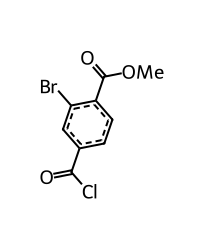 COC(=O)c1ccc(C(=O)Cl)cc1Br